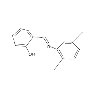 Cc1ccc(C)c(N=Cc2ccccc2O)c1